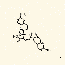 COC1(c2ccc3nc(N)ncc3c2)CC(N)(c2ccc3nc(N)ncc3c2)C=CC1C(=O)O